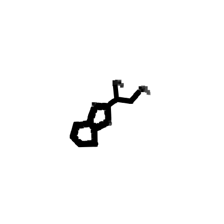 NCC(N)c1nc2ccccc2s1